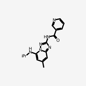 Cc1cc(NC(C)C)n2nc(NC(=O)c3cccnc3)nc2c1